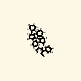 C=Cc1c(/C=C\C)n(-c2cccc([Si](c3ccccc3)(c3ccccc3)c3cccc4c3sc3ccccc34)c2)c2ccccc12